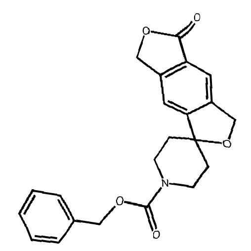 O=C1OCc2cc3c(cc21)COC31CCN(C(=O)OCc2ccccc2)CC1